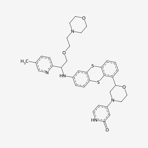 Cc1ccc(C(COCCN2CCOCC2)Nc2ccc3c(c2)Sc2cccc(C4CN(c5cc[nH]c(=O)c5)CCO4)c2S3)nc1